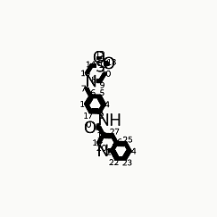 O=C(Nc1ccc(CN2CCS(=O)(=O)CC2)cc1)c1cnc2ccccc2c1